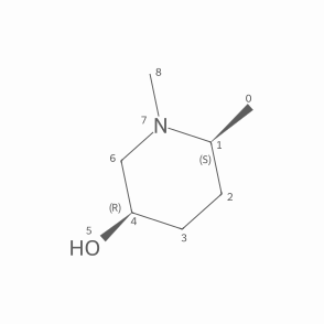 C[C@H]1CC[C@@H](O)CN1C